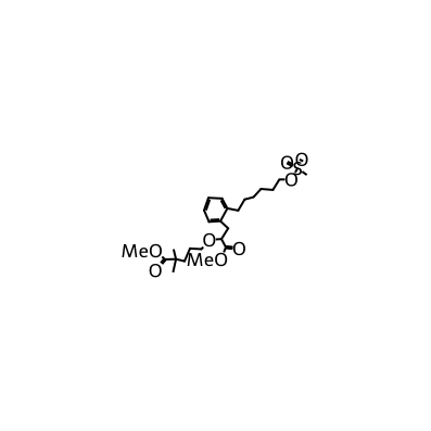 COC(=O)C(Cc1ccccc1CCCCCCOS(C)(=O)=O)OCCCC(C)(C)C(=O)OC